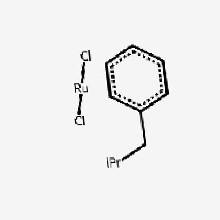 CC(C)Cc1ccccc1.[Cl][Ru][Cl]